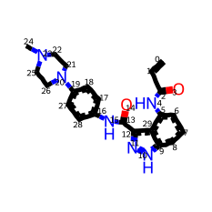 C=CC(=O)Nc1cccc2[nH]nc(C(=O)Nc3ccc(N4CCN(C)CC4)cc3)c12